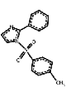 Cc1ccc(S(=O)(=O)n2ccnc2-c2ccccc2)cc1